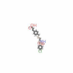 O=C(O)/C=C/c1ccc(CSCCNS(=O)(=O)c2ccc(Cl)cc2)cc1